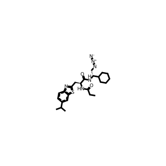 CCC(=O)N[C@@H](Cc1nc2ccc(C(C)C)cc2s1)C(=O)N[C@H](CN=[N+]=[N-])C1CCCCC1